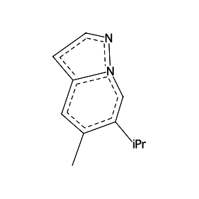 Cc1cc2ccnn2cc1C(C)C